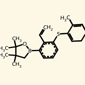 C=Cc1c(SC2=CCCC=C2C)cccc1B1CC(C)(C)C(C)(C)O1